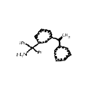 C=C(c1ccccc1)c1cccc(C(N)(C(C)C)C(C)C)c1